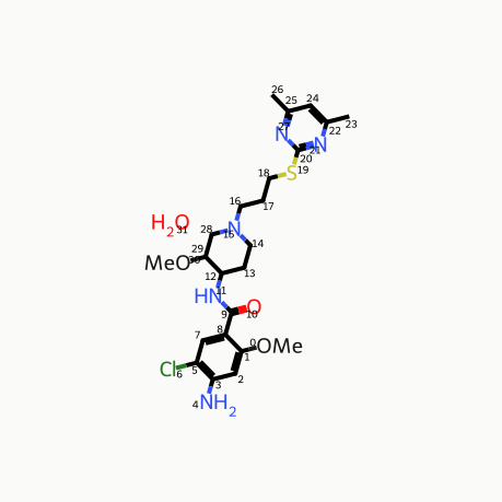 COc1cc(N)c(Cl)cc1C(=O)NC1CCN(CCCSc2nc(C)cc(C)n2)CC1OC.O